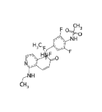 CCNc1nccc(C(F)(F)F)c1/C=C\C(=O)N[C@H](C)c1cc(F)c(NS(C)(=O)=O)c(F)c1